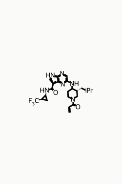 C=CC(=O)N1CCC(Nc2cnc3[nH]cc(C(=O)N[C@@H]4C[C@H]4C(F)(F)F)c3n2)[C@H](CC(C)C)C1